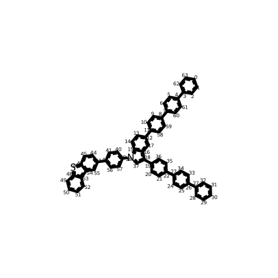 c1ccc(-c2ccc(-c3ccc(-c4ccc5c(c4)c(-c4ccc(-c6ccc(-c7ccccc7)cc6)cc4)cn5-c4ccc(-c5ccc6sc7ccccc7c6c5)cc4)cc3)cc2)cc1